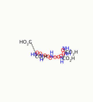 NC(=O)CC[C@H](NC(=O)CC[C@H](NC(=O)COCCOCCNC(=O)COCCOCCNC(=O)CC[C@H](NC(=O)CCCCCCCCCCC(=O)O)C(=O)O)C(=O)O)C(=O)O